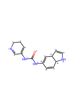 O=C(NC1=CCCN=C1)NC1=CC2C=CNC2C=C1